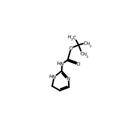 CC(C)(C)OC(=O)NC1=NC=[C]CN1